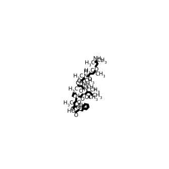 CC[C@H](C)[C@@H]([C@@H](CC(=O)N1CCC[C@H]1[C@H](OC)[C@@H](C)C(=O)N[C@@H](Cc1ccccc1)C(=O)O)OC)N(C)C(=O)[C@@H](NC(=O)C(C)(C)NC(=O)CCC(C)(C)OCCC(C)(C)N)C(C)C